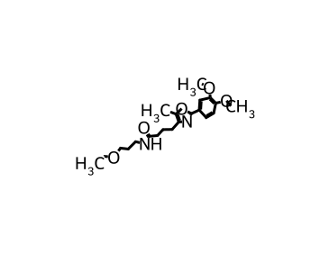 CCOCCCNC(=O)CCCc1nc(-c2ccc(OC)c(OC)c2)oc1C